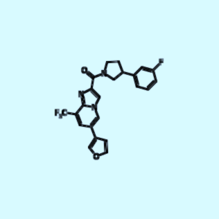 O=C(c1cn2cc(-c3ccoc3)cc(C(F)(F)F)c2n1)N1CCC(c2cccc(F)c2)C1